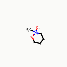 C[N+]1([O-])CCCCO1